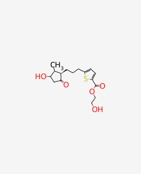 CC1C(O)CC(=O)[C@@H]1CCCc1ccc(C(=O)OCCO)s1